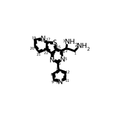 NCC(N)c1nc(-c2ccncc2)nc2c1sc1ncccc12